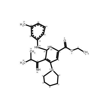 CCOC(=O)C1=CC(N2CCCCC2)=C(C(=N)C(C)C)C(Nc2cccc(C)c2)N1